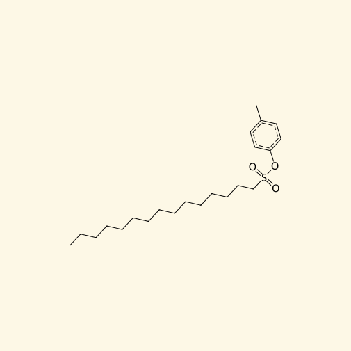 CCCCCCCCCCCCCCCS(=O)(=O)Oc1ccc(C)cc1